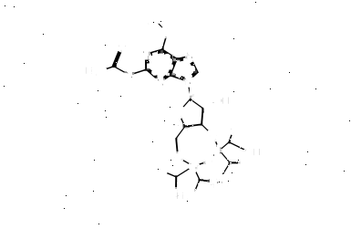 COc1nc(NC(C)=O)nc2c1ncn2[C@@H]1O[C@@H]2CO[Si](C(C)C)(C(C)C)O[Si](C(C)C)(C(C)C)OC2[C@H]1O